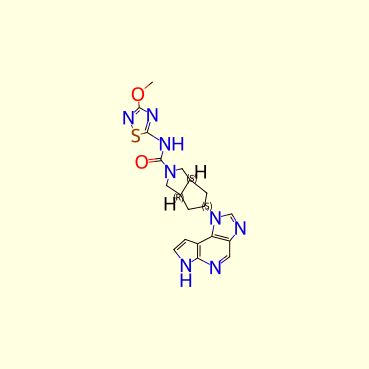 COc1nsc(NC(=O)N2C[C@H]3C[C@H](n4cnc5cnc6[nH]ccc6c54)C[C@H]3C2)n1